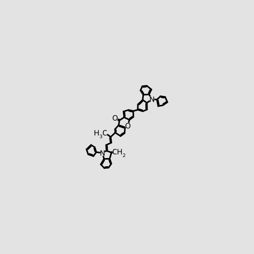 C=c1/c(=C\C=C(/C)c2ccc3oc4cc(-c5ccc6c(c5)c5ccccc5n6-c5ccccc5)ccc4c(=O)c3c2)n(-c2ccccc2)c2ccccc12